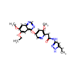 CCOc1cc2c(Oc3cnc(CC(=O)Nc4cc(CC)[nH]n4)c(OC)c3)ncnc2cc1OC